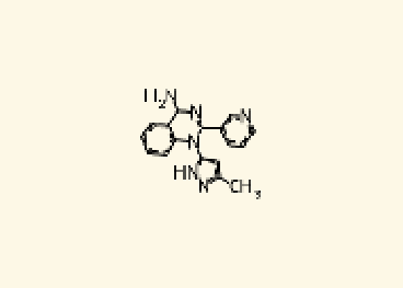 Cc1cc(N2C(c3cccnc3)=NC(N)c3ccccc32)[nH]n1